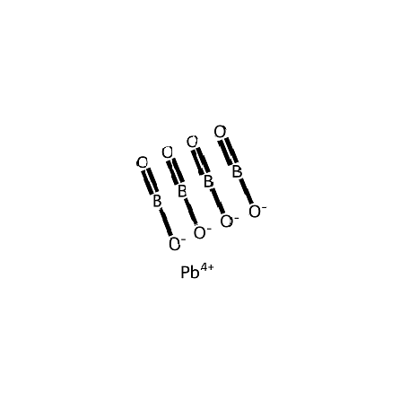 O=B[O-].O=B[O-].O=B[O-].O=B[O-].[Pb+4]